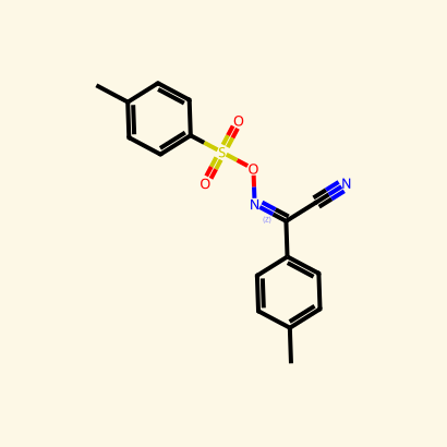 Cc1ccc(/C(C#N)=N/OS(=O)(=O)c2ccc(C)cc2)cc1